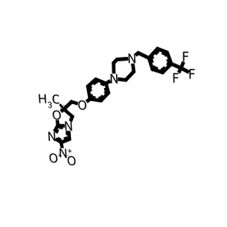 C[C@@]1(COc2ccc(N3CCN(Cc4ccc(C(F)(F)F)cc4)CC3)cc2)Cn2cc([N+](=O)[O-])nc2O1